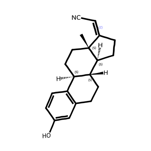 C[C@]12CC[C@@H]3c4ccc(O)cc4CC[C@H]3[C@@H]1CC/C2=C/C#N